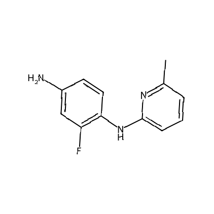 Cc1cccc(Nc2ccc(N)cc2F)n1